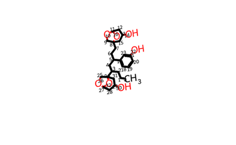 CCCC(CC(CCC12COC(CC(O)C1)O2)c1cccc(O)c1)C12COC(CC(O)C1)O2